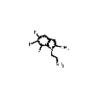 Cc1cc2cc(F)c(F)c(F)c2n1CCN